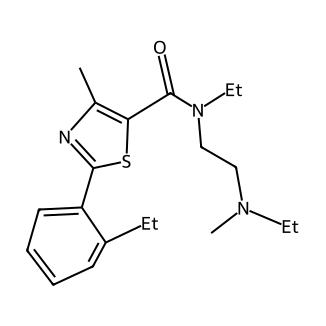 CCc1ccccc1-c1nc(C)c(C(=O)N(CC)CCN(C)CC)s1